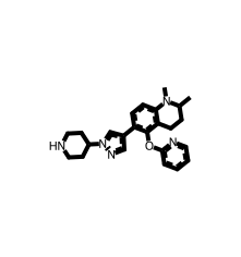 CC1CCc2c(ccc(-c3cnn(C4CCNCC4)c3)c2Oc2ccccn2)N1C